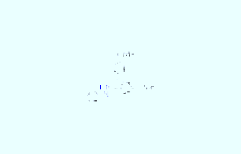 COc1ccc(C=CC2(c3ccc(OC)cc3)CCN(c3ccccc3)N2)cc1